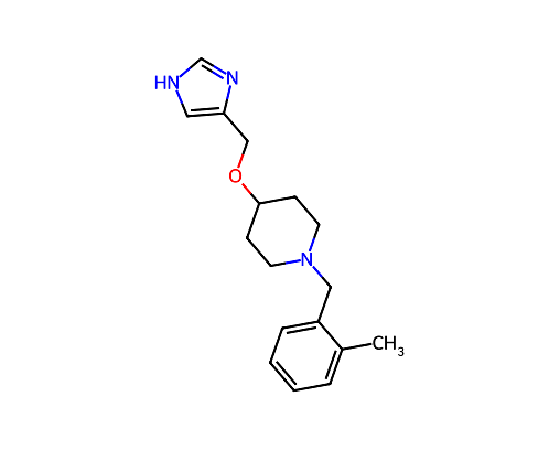 Cc1ccccc1CN1CCC(OCc2c[nH]cn2)CC1